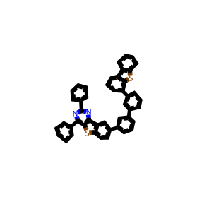 c1ccc(-c2nc(-c3ccccc3)c3sc4ccc(-c5cccc(-c6cccc(-c7cccc8c7sc7ccccc78)c6)c5)cc4c3n2)cc1